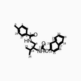 Cc1ccc(C(=O)NCC(NC(=O)Oc2ccc3ccccc3c2)C(C)C)cc1